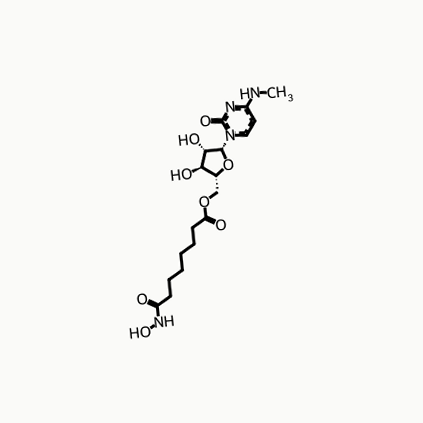 CNc1ccn([C@@H]2O[C@H](COC(=O)CCCCCCC(=O)NO)[C@@H](O)[C@@H]2O)c(=O)n1